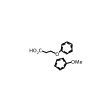 COc1ccccc1.O=C(O)CCOc1ccccc1